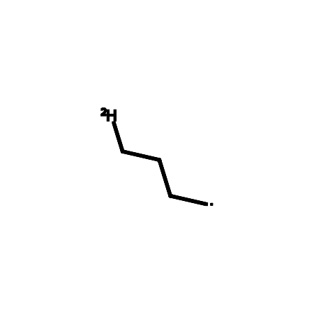 [2H]CCC[CH2]